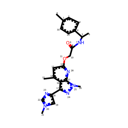 Cc1ccc(C(C)NC(=O)COc2cc(C)c3c(-c4cn(C)cn4)nn(C)c3n2)cc1